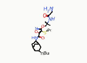 CCCCC1CC2CC(C1)C(NC(=O)c1onc(OCC(C)(C)NC(=O)CN)c1SC(C)C)C2